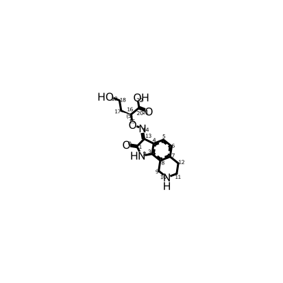 O=C1Nc2c(ccc3c2CNCC3)C1=NO[C@@H](CCO)C(=O)O